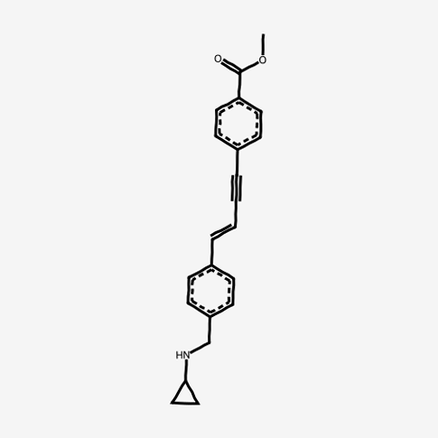 COC(=O)c1ccc(C#CC=Cc2ccc(CNC3CC3)cc2)cc1